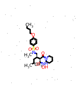 CCCCOc1ccc(S(=O)(=O)N(C)C[C@H](CC(C)C)[C@H](C(=O)NO)C(=O)N2CCCCC2)cc1